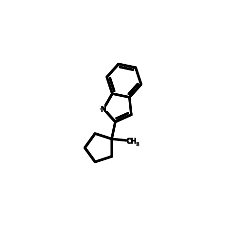 CC1(C2=Cc3ccccc3[N]2)CCCC1